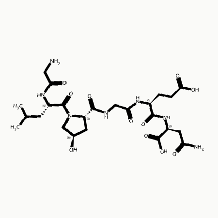 CC(C)C[C@H](NC(=O)CN)C(=O)N1C[C@H](O)C[C@H]1C(=O)NCC(=O)N[C@@H](CCC(=O)O)C(=O)N[C@@H](CC(N)=O)C(=O)O